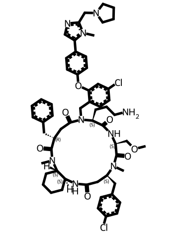 COC[C@@H]1NC(=O)[C@H](CCCN)N(Cc2ccc(Cl)cc2Oc2ccc(-c3cnc(CN4CCCC4)n3C)cc2)C(=O)C[C@@H](Cc2ccccc2)C(=O)N(C)[C@H]2CCCC[C@@H]2NC(=O)C[C@H](Cc2ccc(Cl)cc2)N(C)C1=O